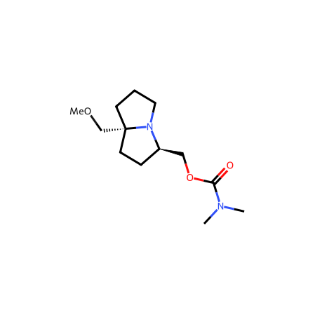 COC[C@]12CCCN1[C@@H](COC(=O)N(C)C)CC2